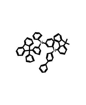 CC1(C)c2ccccc2-c2c(N(c3ccc(-c4ccccc4)cc3)c3cccc(N(c4ccccc4)c4cccc(C5(c6ccccc6)c6ccccc6-c6ccccc65)c4)c3)cccc21